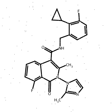 Cc1nccn1-n1c(C)c(C(=O)NCc2cccc(F)c2C2CC2)c2cccc(F)c2c1=O